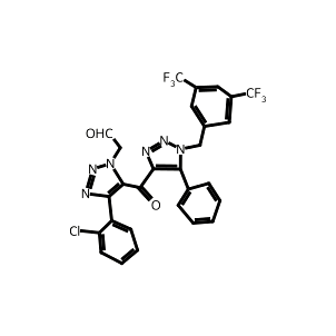 O=CCn1nnc(-c2ccccc2Cl)c1C(=O)c1nnn(Cc2cc(C(F)(F)F)cc(C(F)(F)F)c2)c1-c1ccccc1